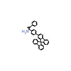 NC1(c2ccc(-c3ccc4c(c3)C3(c5ccccc5-c5ccccc53)c3ccccc3-4)cc2)C=C1c1ccccc1